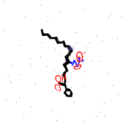 CCCCCCCC/C=C\CC(CCCCC(C(=O)O)c1ccccc1)[N+](=O)[O-]